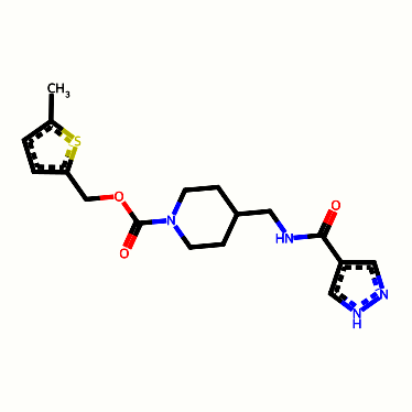 Cc1ccc(COC(=O)N2CCC(CNC(=O)c3cn[nH]c3)CC2)s1